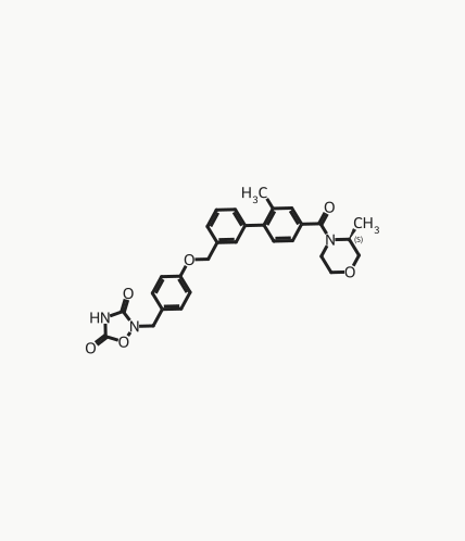 Cc1cc(C(=O)N2CCOC[C@@H]2C)ccc1-c1cccc(COc2ccc(Cn3oc(=O)[nH]c3=O)cc2)c1